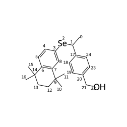 CC([Se]c1ccc2c(c1)C(C)(C)CCC2(C)C)c1ccc(CO)cc1